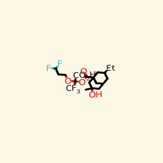 CCC1CC2CC(C)(O)CC(C(=O)OC(OCCC(F)F)(C(=O)O)C(F)(F)F)(C1)C2